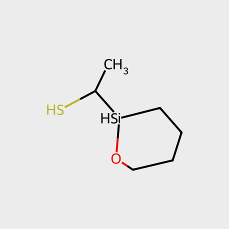 CC(S)[SiH]1CCCCO1